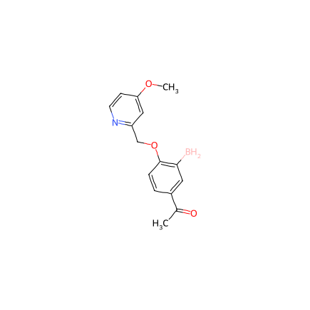 Bc1cc(C(C)=O)ccc1OCc1cc(OC)ccn1